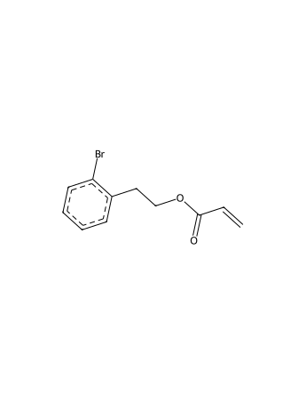 C=CC(=O)OCCc1ccccc1Br